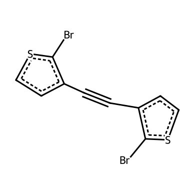 Brc1sccc1C#Cc1ccsc1Br